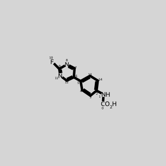 O=C(O)Nc1ccc(-c2cnc(F)nc2)cc1